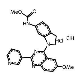 COC(=O)Nc1ccc2c(c1)N(c1nc(-c3cccnc3)nc3ccc(OC)cc13)CC2.Cl.Cl